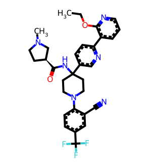 CCOc1ncccc1-c1ccc(C2(NC(=O)[C@H]3CCN(C)C3)CCN(c3ccc(C(F)(F)F)cc3C#N)CC2)cn1